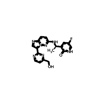 C[C@@H](Nc1ccc2ncc(-c3nccc(CO)n3)n2n1)c1cc(F)c[nH]c1=O